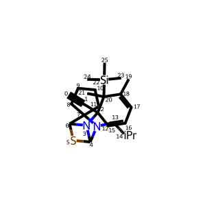 C#CC1(N2C3SC2C2(CCCC2)N3CC(C)C)C=CC=C(C)C1(C)[Si](C)(C)C